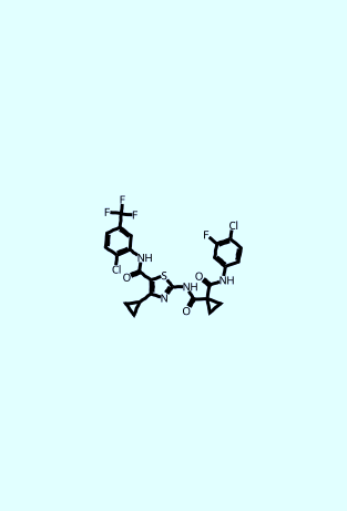 O=C(Nc1cc(C(F)(F)F)ccc1Cl)c1sc(NC(=O)C2(C(=O)Nc3ccc(Cl)c(F)c3)CC2)nc1C1CC1